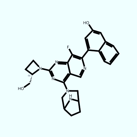 OC[C@@H]1CCN1c1nc(N2CC3CCC(C2)N3)c2cnc(-c3cc(O)cc4ccccc34)c(F)c2n1